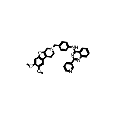 COc1cc2oc3c(c2cc1OC)CCN(Cc1ccc(Nc2nc(-c4cccnc4)nc4ccccc24)cc1)C3